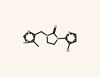 CCc1ccsc1N1CCN(Cc2nc[nH]c2C)C1=O